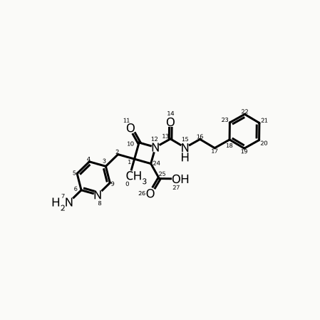 CC1(Cc2ccc(N)nc2)C(=O)N(C(=O)NCCc2ccccc2)C1C(=O)O